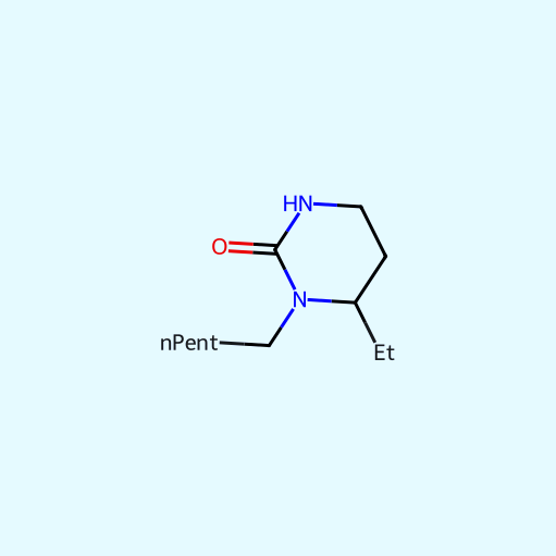 CCCCCCN1C(=O)NCCC1CC